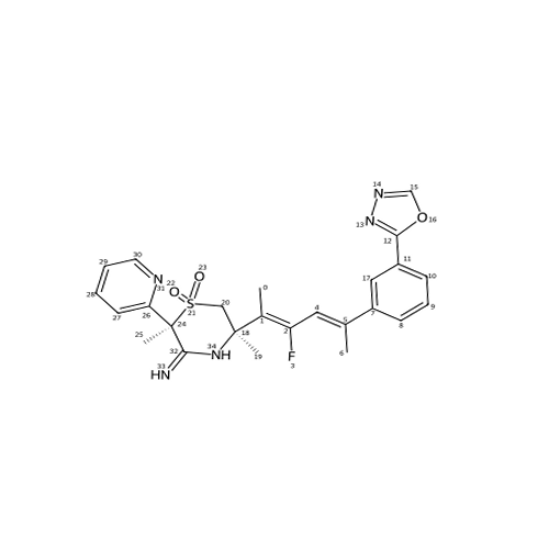 C/C(=C(F)\C=C(/C)c1cccc(-c2nnco2)c1)[C@]1(C)CS(=O)(=O)[C@](C)(c2ccccn2)C(=N)N1